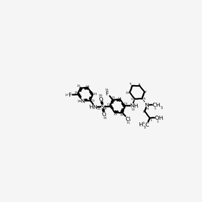 CC(O)CN(C)[C@H]1CCCC[C@@H]1Nc1cc(F)c(S(=O)(=O)Nc2cccc(F)n2)cc1Cl